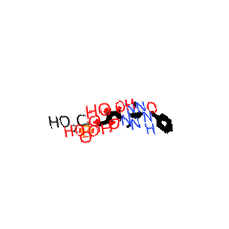 O=C(Nc1ncnc2c1ncn2C1OC(COC(C(=O)O)P(=O)(O)O)C(O)C1O)c1ccccc1